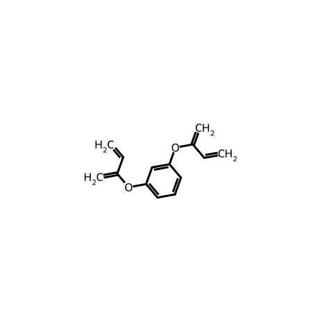 C=CC(=C)Oc1cccc(OC(=C)C=C)c1